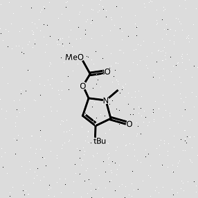 COC(=O)OC1C=C(C(C)(C)C)C(=O)N1C